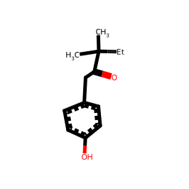 CCC(C)(C)C(=O)Cc1ccc(O)cc1